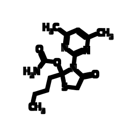 CCCCC1(OC(N)=O)SCC(=O)N1c1nc(C)cc(C)n1